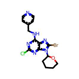 Clc1nc(NCc2ccncc2)c2nc(Br)n(C3CCCCO3)c2n1